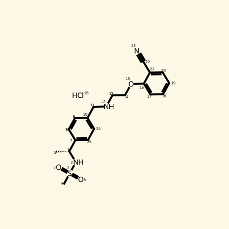 C[C@@H](NS(C)(=O)=O)c1ccc(CNCCOc2ccccc2C#N)cc1.Cl